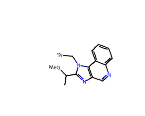 COC(C)c1nc2cnc3ccccc3c2n1CC(C)C